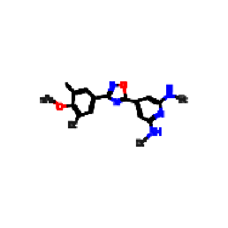 CCCOc1c(C)cc(-c2noc(-c3cc(NCC)nc(NCC)c3)n2)cc1CC